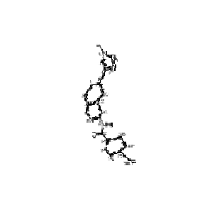 Cn1cc(-c2ccc3cnc(NC(=O)c4ccc(F)cc4)cc3c2)nn1